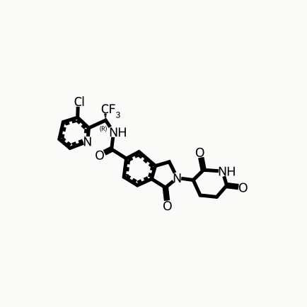 O=C1CCC(N2Cc3cc(C(=O)N[C@H](c4ncccc4Cl)C(F)(F)F)ccc3C2=O)C(=O)N1